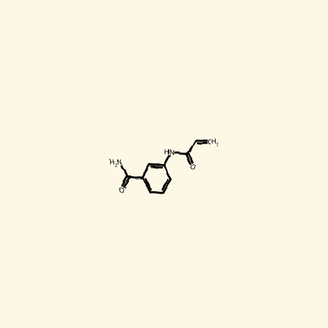 C=CC(=O)Nc1cccc(C(N)=O)c1